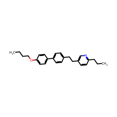 CCCCOc1ccc(-c2ccc(CCc3ccc(CCC)nc3)cc2)cc1